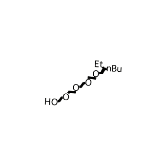 CCCCC(=COCCOCCOCCOCCO)CC